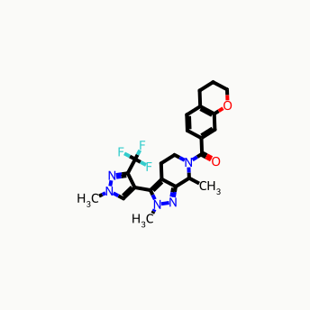 CC1c2nn(C)c(-c3cn(C)nc3C(F)(F)F)c2CCN1C(=O)c1ccc2c(c1)OCCC2